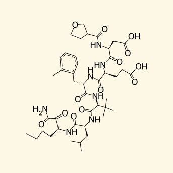 CCCC[C@H](NC(=O)[C@H](CC(C)C)NC(=O)[C@@H](NC(=O)[C@H](Cc1ccccc1C)NC(=O)[C@H](CCC(=O)O)NC(=O)[C@H](CC(=O)O)NC(=O)C1CCOC1)C(C)(C)C)C(=O)C(N)=O